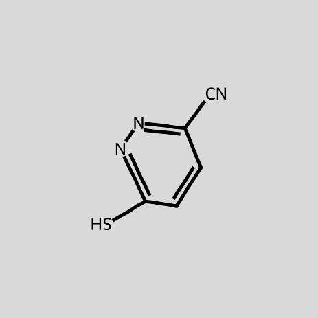 N#Cc1ccc(S)nn1